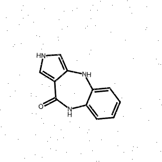 O=C1Nc2ccccc2Nc2c[nH]cc21